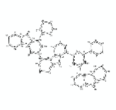 c1ccc(-c2nc(-c3cccc4c3oc3cccc(-c5nc(-c6ccccc6)c6sc7ccccc7c6n5)c34)nc(-c3cccc4oc5ccccc5c34)n2)cc1